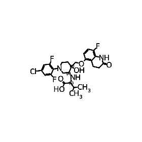 CC(C)[C@H](N[C@@H]1CN(c2c(F)cc(Cl)cc2F)CC[C@]1(O)COc1ccc(F)c2c1CCC(=O)N2)C(=O)O